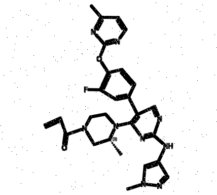 C=CC(=O)N1CCN(c2nc(Nc3cnn(C)c3)ncc2-c2ccc(Oc3nccc(C)n3)c(F)c2)[C@H](C)C1